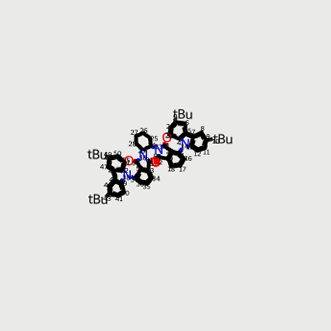 CC(C)(C)c1ccc2c(c1)c1cc(C(C)(C)C)ccc1n2-c1cccc2c1C(=O)N(C1CCCCC1N1C(=O)c3cccc(-n4c5ccc(C(C)(C)C)cc5c5cc(C(C)(C)C)ccc54)c3C1=O)C2=O